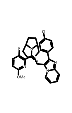 COc1ccc(F)c(C(=O)N2C3CCC2CN(Cc2c(-c4ccc(Cl)cc4)nc4ccccn24)CC3)n1